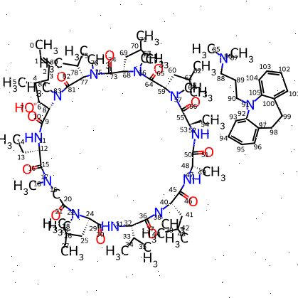 C/C=C/C[C@@H](C)[C@@H](O)[C@H]1C(=O)N[C@@H](CC)C(=O)N(C)CC(=O)N(C)[C@@H](CC(C)C)C(=O)N[C@@H](C(C)C)C(=O)N(C)[C@@H](CC(C)C)C(=O)N[C@@H](C)C(=O)N[C@H](C)C(=O)N(C)[C@@H](CC(C)C)C(=O)N(C)[C@@H](CC(C)C)C(=O)N(C)[C@@H](C(C)C)C(=O)N1C.CN(C)CCCN1c2ccccc2CCc2ccccc21